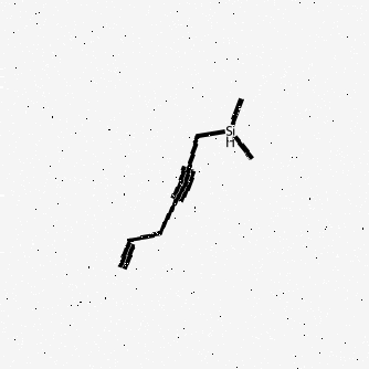 C=CCC#CC[SiH](C)C